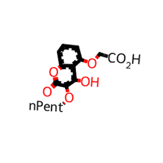 CCCCCOc1c(O)c2c(OCC(=O)O)cccc2oc1=O